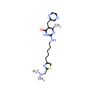 Cc1nc(NCCCCCc2csc(CN(C)C)n2)[nH]c(=O)c1Cc1cnccn1